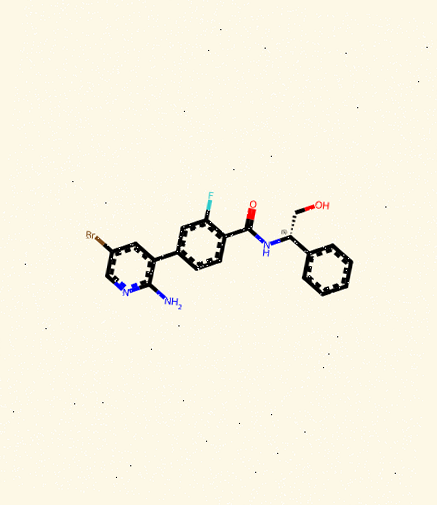 Nc1ncc(Br)cc1-c1ccc(C(=O)N[C@H](CO)c2ccccc2)c(F)c1